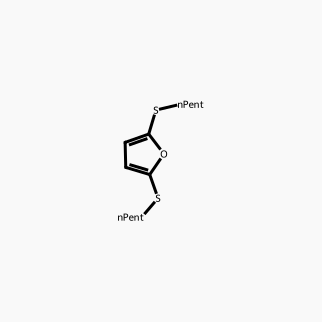 CCCCCSc1ccc(SCCCCC)o1